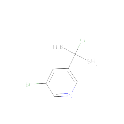 BC(B)(Cl)c1cncc(Br)c1